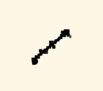 CCP(=O)(O)OCCCCCCNC(=O)CCCCCNC(=O)CCSSc1ccccn1